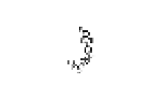 O=C(c1ccc(C2Nc3ccc(F)cc3O2)cc1)N1CCN(C(=O)C2(O)CC2)CC1